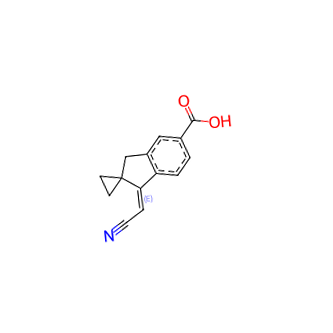 N#C/C=C1/c2ccc(C(=O)O)cc2CC12CC2